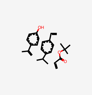 C=C(C)c1ccc(O)cc1.C=CC(=O)OC(C)(C)C.C=Cc1ccc(C(C)C)cc1